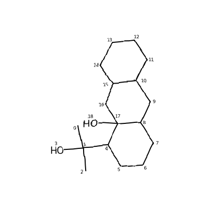 CC(C)(O)C1CCCC2CC3CCCCC3CC21O